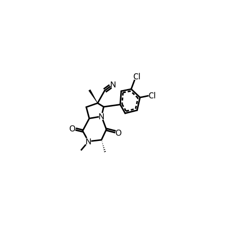 C[C@H]1C(=O)N2C(C[C@](C)(C#N)C2c2ccc(Cl)c(Cl)c2)C(=O)N1C